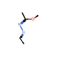 C/C=N/N=C(/C)OC